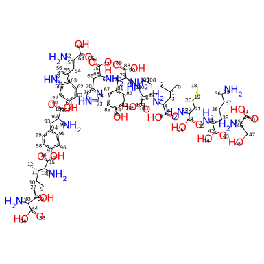 CC(C)C[C@H](N)C(=O)O.CC[C@H](C)[C@H](N)C(=O)O.CSCC[C@H](N)C(=O)O.C[C@@H](O)[C@H](N)C(=O)O.NCCCC[C@H](N)C(=O)O.N[C@@H](CO)C(=O)O.N[C@@H](Cc1c[nH]c2ccccc12)C(=O)O.N[C@@H](Cc1c[nH]cn1)C(=O)O.N[C@@H](Cc1ccc(O)cc1)C(=O)O.N[C@@H](Cc1ccccc1)C(=O)O.O=C(O)[C@@H]1CCCN1